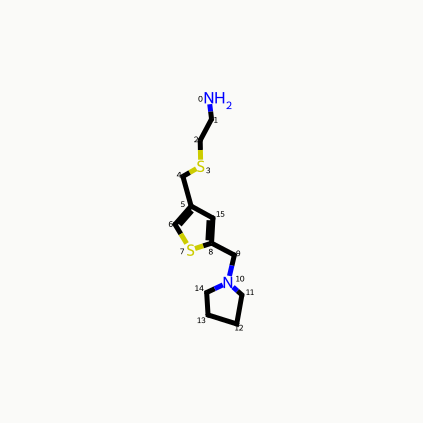 NCCSCc1csc(CN2CCCC2)c1